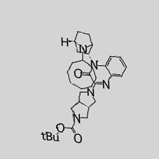 CC(C)(C)OC(=O)N1CC2CN(c3nc4ccccc4n([C@@H]4C[C@@H]5CCC4N5C4CCCCCCC4)c3=O)CC2C1